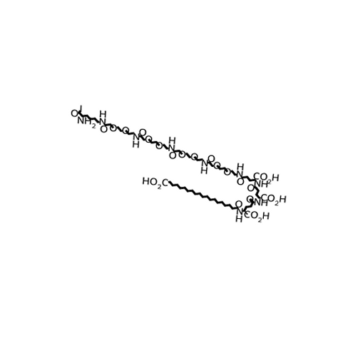 N[C@@H](CCCCNC(=O)COCCOCCNC(=O)COCCOCCNC(=O)COCCOCCNC(=O)COCCOCCNC(=O)CC[C@H](NC(=O)CC[C@H](NC(=O)CC[C@H](NC(=O)CCCCCCCCCCCCCCCCCCC(=O)O)C(=O)O)C(=O)O)C(=O)O)C(=O)I